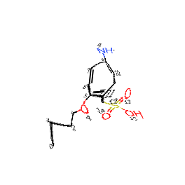 CCCCOc1ccc([NH])cc1S(=O)(=O)O